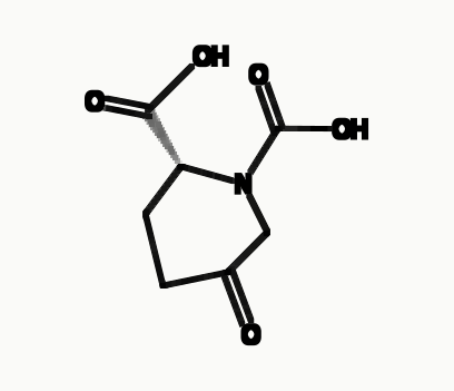 O=C1CC[C@H](C(=O)O)N(C(=O)O)C1